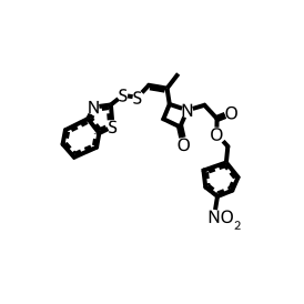 CC(=CSSc1nc2ccccc2s1)C1CC(=O)N1CC(=O)OCc1ccc([N+](=O)[O-])cc1